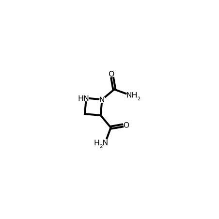 NC(=O)C1CNN1C(N)=O